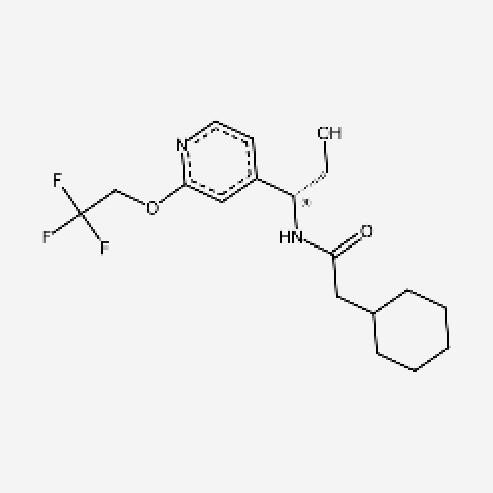 O=C(CC1CCCCC1)N[C@@H](CO)c1ccnc(OCC(F)(F)F)c1